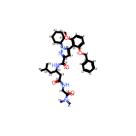 COc1cccc(OCc2ccccc2)c1-c1cc(C(=O)NC(CC(=O)NCC(=O)N(C)C)CC(C)C)nn1C1CCCCC1